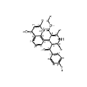 CCOC(=O)C1=C(C)NC(C)=C(C(=O)c2ccc(F)cc2)C1c1cccc2c(=O)cc(C)oc12